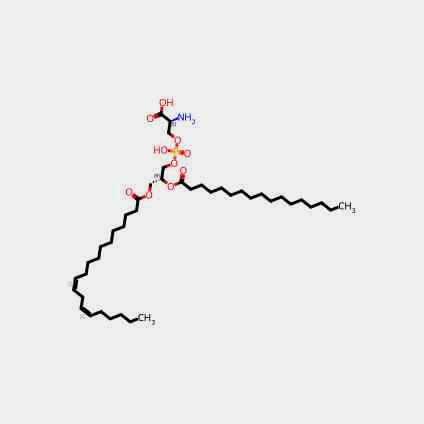 CCCCC/C=C\C/C=C\CCCCCCCCCC(=O)OC[C@H](COP(=O)(O)OC[C@H](N)C(=O)O)OC(=O)CCCCCCCCCCCCCCCC